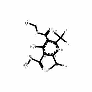 CCSC(=O)c1c(C(F)(F)F)nc(C(F)F)c(C(=O)OC)c1N